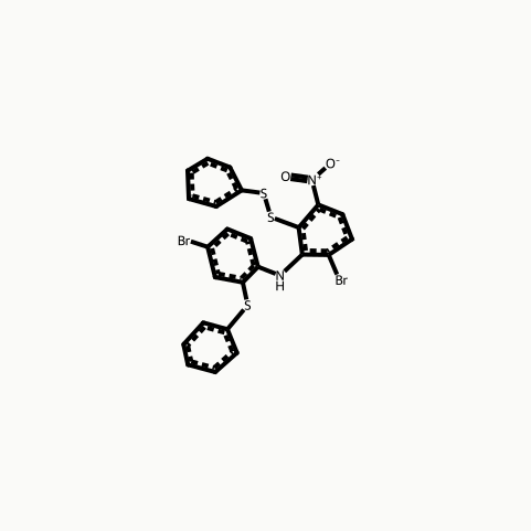 O=[N+]([O-])c1ccc(Br)c(Nc2ccc(Br)cc2Sc2ccccc2)c1SSc1ccccc1